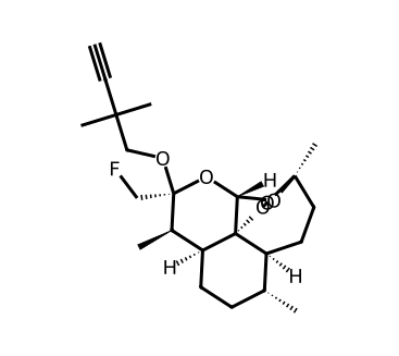 C#CC(C)(C)CO[C@@]1(CF)O[C@@H]2O[C@]3(C)CC[C@H]4[C@H](C)CC[C@@H]([C@H]1C)[C@@]24OO3